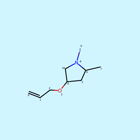 C=CCOC1CC(C)N(I)C1